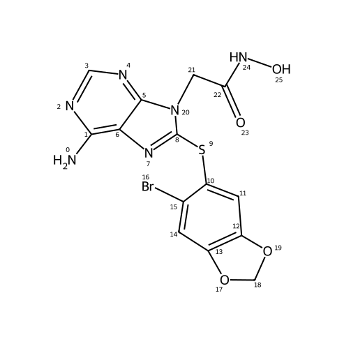 Nc1ncnc2c1nc(Sc1cc3c(cc1Br)OCO3)n2CC(=O)NO